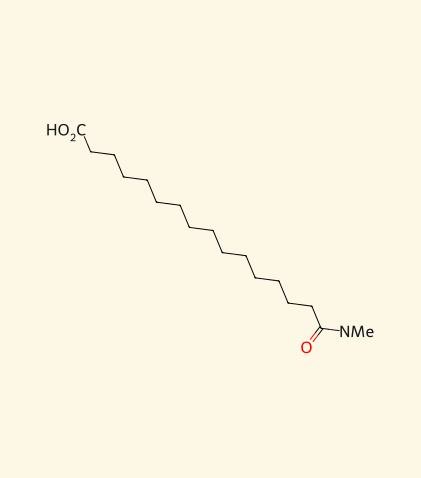 CNC(=O)CCCCCCCCCCCCCCC(=O)O